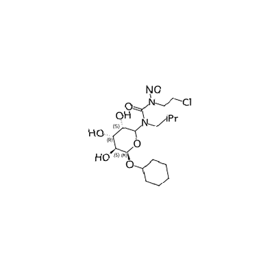 CC(C)CN(C(=O)N(CCCl)N=O)C1O[C@@H](OC2CCCCC2)[C@@H](O)[C@H](O)[C@@H]1O